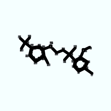 COc1cc(C)ccc1C(C)(C)CCOc1cc(C(C)(C)C)ccc1C